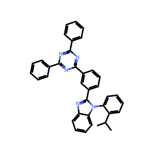 CC(C)c1ccccc1-n1c(-c2cccc(-c3nc(-c4ccccc4)nc(-c4ccccc4)n3)c2)nc2ccccc21